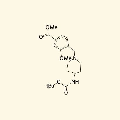 COC(=O)c1ccc(CN2CCC(NC(=O)OC(C)(C)C)CC2)c(OC)c1